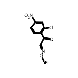 CC(C)O/N=C/C(=O)c1ccc([N+](=O)[O-])cc1Cl